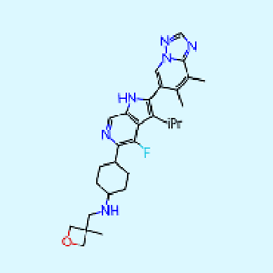 Cc1c(-c2[nH]c3cnc(C4CCC(NCC5(C)COC5)CC4)c(F)c3c2C(C)C)cn2ncnc2c1C